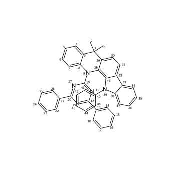 CC1(C)c2ccccc2N(c2nc(-c3ccccc3)cc(-c3ccccc3)n2)c2c1ccc1c3ccccc3n(-c3ccccc3)c21